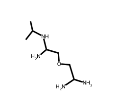 CC(C)NC(N)COCC(N)N